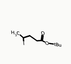 CC(I)CCC(=O)OC(C)(C)C